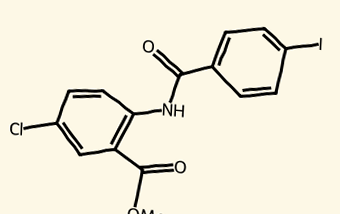 COC(=O)c1cc(Cl)ccc1NC(=O)c1ccc(I)cc1